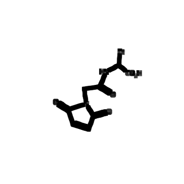 CCC(NC(=O)CN1C(=O)C=CC1=O)C(=O)O